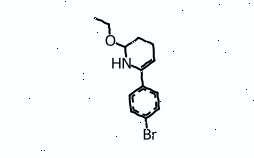 CCOC1CCC=C(c2ccc(Br)cc2)N1